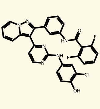 O=C(Nc1cccc(-c2nn3ccccc3c2-c2ccnc(Nc3ccc(O)c(Cl)c3)n2)c1)c1c(F)cccc1F